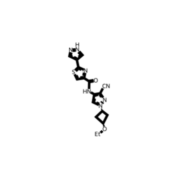 CCO[C@H]1C[C@H](n2cc(NC(=O)c3csc(-c4cn[nH]c4)n3)c(C#N)n2)C1